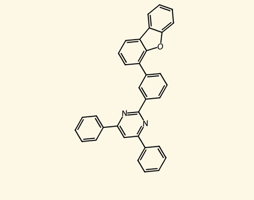 c1ccc(-c2cc(-c3ccccc3)nc(-c3cccc(-c4cccc5c4oc4ccccc45)c3)n2)cc1